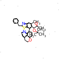 CC(=O)[C@@H](OC(C)(C)C)c1c(C)cc2nc(Cc3ccccc3)sc2c1-c1ccc2c3c(ccnc13)CCO2